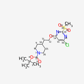 CC(C)(C)OC(=O)N1CCC(CCOc2cc(Cl)nc(S(C)(=O)=O)n2)CC1